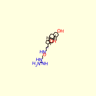 C[C@]12CCC(O)CC1CC[C@@H]1[C@H]2CC[C@]2(C)C(/C=C/CNOCCNC(=N)N)CC[C@@]12O